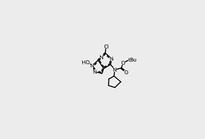 CC(C)(C)OC(=O)N(c1nc(Cl)nc2c1cnn2O)C1CCCC1